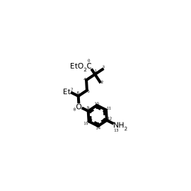 CCOC(=O)C(C)(C)CCC(CC)Oc1ccc(N)cc1